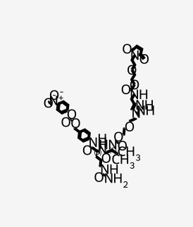 CC(C)[C@H](NC(=O)OCCOCCN1C=C(CNC(=O)OCCOCCN2C(=O)C=CC2=O)NN1)C(=O)N[C@@H](CCCNC(N)=O)C(=O)Nc1ccc(COC(=O)Oc2ccc([N+](=O)[O-])cc2)cc1